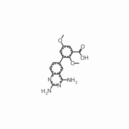 COc1cc(C(=O)O)c(OC)c(-c2ccc3nc(N)nc(N)c3c2)c1